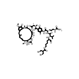 COc1cc2cc(c1Cl)N(C)C(=O)C[C@H](OC(=O)[C@H](C)N(C)C(=O)c1cc(F)c(NC(=O)[C@H](CCCNC(N)=O)NC(=O)[C@@H](NC(C=O)CCCCOC(=O)C(CBr)CBr)C(C)C)cc1Cl)[C@]1(C)O[C@H]1[C@H](C)[C@@H]1C[C@@](O)(NC(=O)O1)[C@H](OC)/C=C/C=C(\C)C2